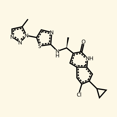 Cc1cnnn1-c1cnc(N[C@@H](C)c2cc3cc(Cl)c(C4CC4)cc3[nH]c2=O)s1